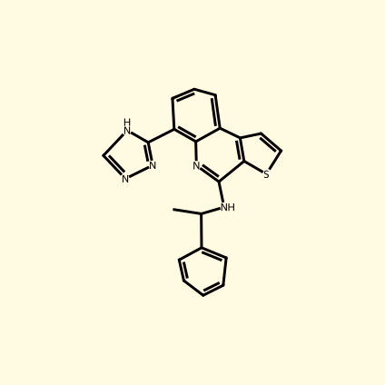 CC(Nc1nc2c(-c3nnc[nH]3)cccc2c2ccsc12)c1ccccc1